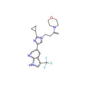 C=C(CCn1cc(-c2cnc3[nH]cc(C(F)(F)F)c3c2)nc1C1CC1)N1CCOCC1